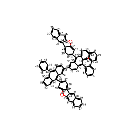 c1ccc(-c2ccccc2-c2c3ccccc3c(-c3ccc4c(c3)oc3cc5ccccc5cc34)c3cc(-c4ccc5c(-c6ccccc6)c6ccccc6c(-c6ccc7c(c6)oc6cc8ccccc8cc67)c5c4)ccc23)cc1